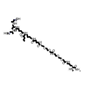 CCCC(=O)[C@H](CCCCNC(=O)CCCC(=O)NCCOCCOCC(=O)NCCOCCOCC(=O)NCCCC[C@H](NC)C(N)=O)NC(=O)CCCC(=O)NC(CNC(C)/C=N/O)CNC(C)/C=N/O